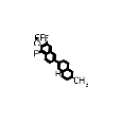 C[C@@H]1CC[C@@H]2CC(c3ccc4c(F)c(OC(F)(F)F)c(F)cc4c3)CCC2C1